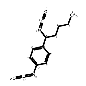 CCCCC(N=C=O)c1ccc(N=C=O)cc1